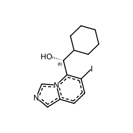 O[C@@H](c1c(I)ccc2cncn12)C1CCCCC1